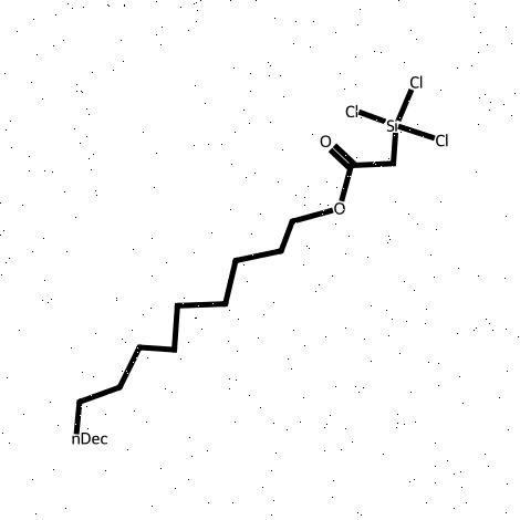 CCCCCCCCCCCCCCCCCCCOC(=O)C[Si](Cl)(Cl)Cl